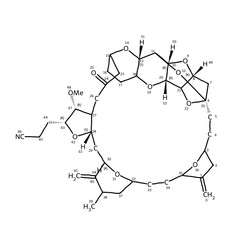 C=C1CC2CC[C@@]34C[C@H]5O[C@H]6C(O3)[C@H]3OC(CCC3O[C@H]6C5O4)CC(=O)CC3[C@H](C[C@H]4OC(CCC1O2)CC(C)C4=C)O[C@H](CCC#N)[C@@H]3OC